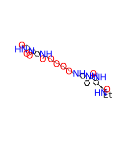 CCNC(=O)C#Cc1ccc2c(c1)NC(=O)/C2=C(\Nc1ccc(CNCCOCCOCCOCCOCCC(=O)Nc2ccc3c(c2)CN(C2CCC(=O)NC2=O)C3=O)cc1)c1ccccc1